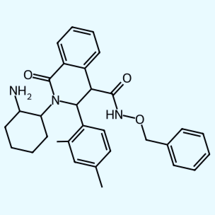 Cc1ccc(C2C(C(=O)NOCc3ccccc3)c3ccccc3C(=O)N2C2CCCCC2N)c(C)c1